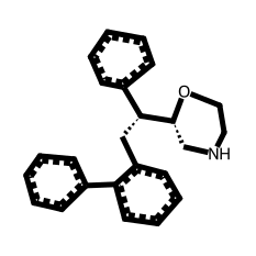 c1ccc(-c2ccccc2C[C@H](c2ccccc2)[C@H]2CNCCO2)cc1